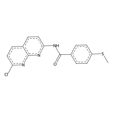 CSc1ccc(C(=O)Nc2ccc3ccc(Cl)nc3n2)cc1